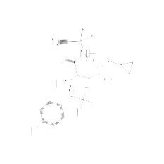 N#CC1(NC(=O)C(CS(=O)(=O)CC2CC2)N[C@H](c2ccc(F)cc2)C(F)(F)F)CC1